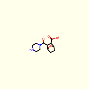 O=C(O)C1C2CCC(O2)C1C(=O)N1CCNCC1